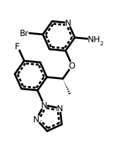 C[C@@H](Oc1cc(Br)cnc1N)c1cc(F)ccc1-n1nccn1